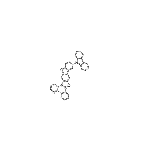 c1ccc2c(c1)B1Oc3cc4c(cc3N1c1cccnc1-2)oc1ccc(-n2c3ccccc3c3ccccc32)cc14